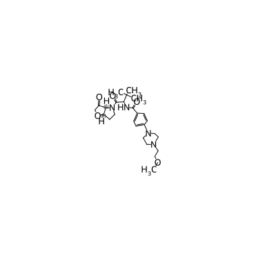 COCCN1CCN(c2ccc(C(=O)NC(C(=O)N3CC[C@H]4OCC(=O)[C@H]43)C(C)(C)C)cc2)CC1